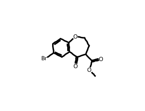 COC(=O)C1CCOc2ccc(Br)cc2C1=O